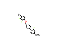 CCc1ccc(OCC2CCC(c3ccc(OC)cc3F)CC2)c(F)c1F